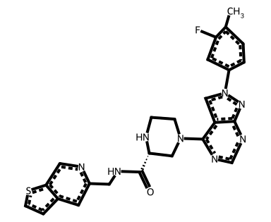 Cc1ccc(-n2cc3c(N4CCN[C@@H](C(=O)NCc5cc6ccsc6cn5)C4)ncnc3n2)cc1F